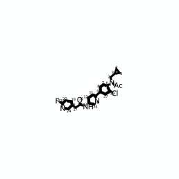 CC(=O)N(CC1CC1)c1ccc(-c2ccc(NC(=O)Cc3ccc(F)nc3)cn2)cc1Cl